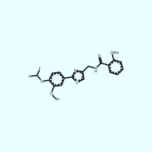 COc1ccccc1C(=O)NCc1coc(-c2ccc(OC(F)F)c(OC(C)C)c2)n1